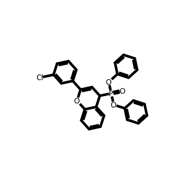 O=P(Oc1ccccc1)(Oc1ccccc1)C1C=C(c2cccc(Cl)c2)Oc2ccccc21